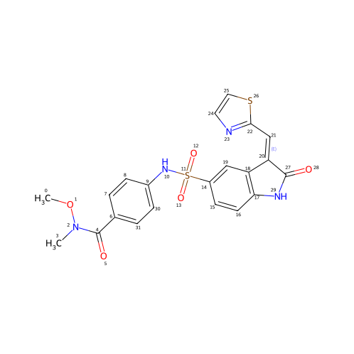 CON(C)C(=O)c1ccc(NS(=O)(=O)c2ccc3c(c2)/C(=C\c2nccs2)C(=O)N3)cc1